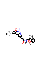 CCCC1(CC)Cc2cc(/C=C/C(=O)N(C)Cc3oc4ccccc4c3C)cnc2NC1=O